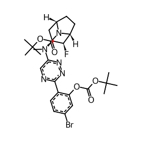 CN(c1cnc(-c2ccc(Br)cc2OC(=O)OC(C)(C)C)nn1)[C@H]1C[C@@H]2CC[C@H]([C@H]1F)N2C(=O)OC(C)(C)C